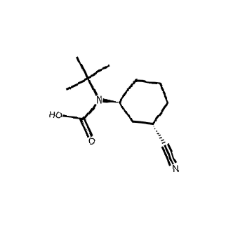 CC(C)(C)N(C(=O)O)[C@H]1CCC[C@H](C#N)C1